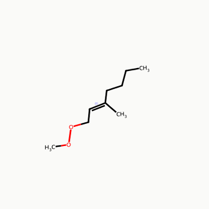 CCCC/C(C)=C/COOC